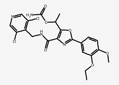 CCOc1cc(-c2nc(C(=O)NCc3c(Cl)cncc3Cl)c(C(C)OC(N)=O)o2)ccc1OC